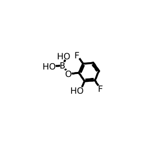 OB(O)Oc1c(F)ccc(F)c1O